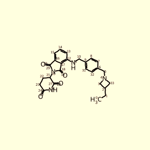 CCC1CN(Cc2ccc(CNc3cccc4c3C(=O)N(C3CCC(=O)NC3=O)C4=O)cc2)C1